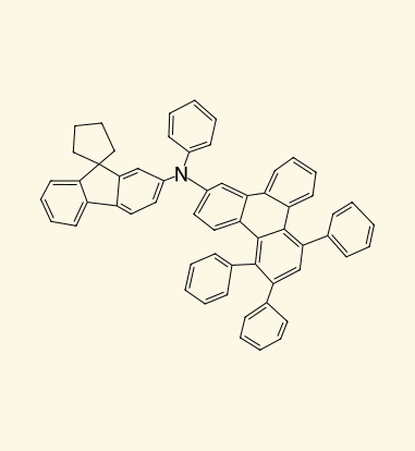 c1ccc(-c2cc(-c3ccccc3)c3c4ccccc4c4cc(N(c5ccccc5)c5ccc6c(c5)C5(CCCC5)c5ccccc5-6)ccc4c3c2-c2ccccc2)cc1